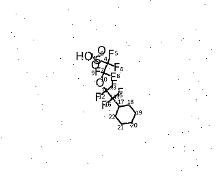 O=S(=O)(O)C(F)(F)C(F)(F)OC(F)(F)C(F)(F)C1CCCCC1